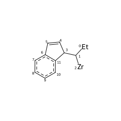 CC[CH]([Zr])C1C=Cc2ccccc21